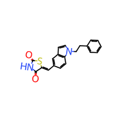 O=C1NC(=O)C(=Cc2ccc3c(ccn3CCc3ccccc3)c2)S1